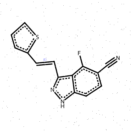 N#Cc1ccc2[nH]nc(/C=C/c3cccs3)c2c1F